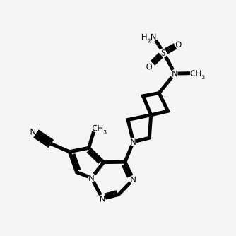 Cc1c(C#N)cn2ncnc(N3CC4(CC(N(C)S(N)(=O)=O)C4)C3)c12